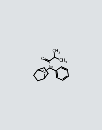 CC(C)C(=O)[C@H](c1ccccc1)N1C2CCC1CC2